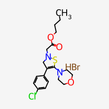 Br.CCCCOC(=O)CN1CC(c2ccc(Cl)cc2)=C(N2CCOCC2)S1